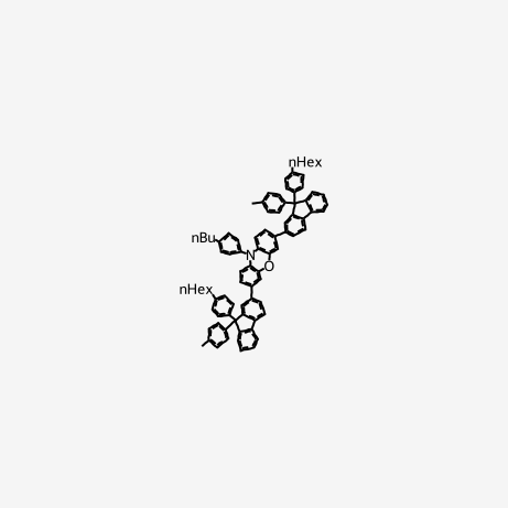 CCCCCCc1ccc(C2(c3ccc(C)cc3)c3ccccc3-c3ccc(-c4ccc5c(c4)Oc4cc(-c6ccc7c(c6)C(c6ccc(C)cc6)(c6ccc(CCCCCC)cc6)c6ccccc6-7)ccc4N5c4ccc(CCCC)cc4)cc32)cc1